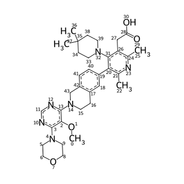 COc1c(N2CCOCC2)ncnc1N1CCc2cc(-c3c(C)nc(C)c(CC(=O)O)c3N3CCC(C)(C)CC3)ccc2C1